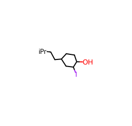 CC(C)CCC1CCC(O)C(I)C1